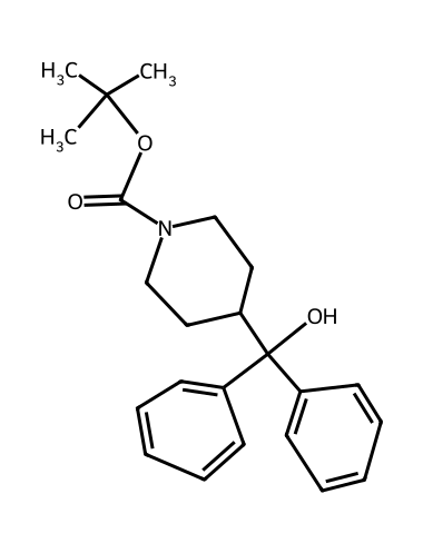 CC(C)(C)OC(=O)N1CCC(C(O)(c2ccccc2)c2ccccc2)CC1